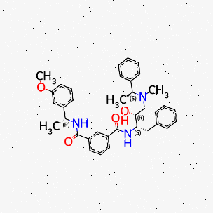 COc1cccc([C@@H](C)NC(=O)c2cccc(C(=O)N[C@@H](Cc3ccccc3)[C@H](O)CN(C)[C@@H](C)c3ccccc3)c2)c1